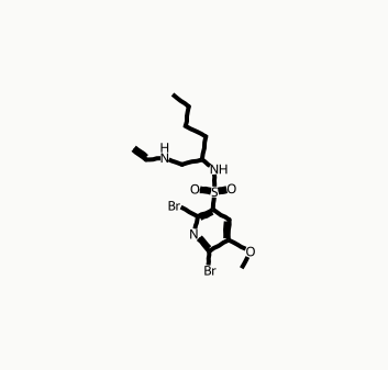 C=CNCC(CCCC)NS(=O)(=O)c1cc(OC)c(Br)nc1Br